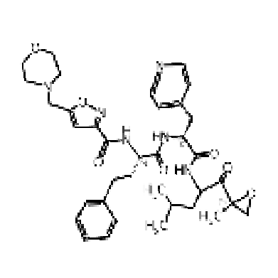 CC(C)CC(NC(=O)[C@H](Cc1ccncc1)NC(=O)[C@H](CCc1ccccc1)NC(=O)c1cc(CN2CCOCC2)on1)C(=O)[C@@]1(C)CO1